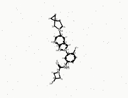 O=C(Nc1ccc(F)c(-n2cc3cc(N4CCC5(CC5)C4)cnc3n2)c1)N1CC(F)C1